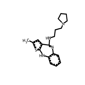 Cc1cc2c(s1)Nc1ccccc1N=C2NCCCN1CCCC1